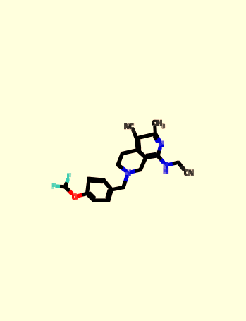 Cc1nc(NCC#N)c2c(c1C#N)CCN(Cc1ccc(OC(F)F)cc1)C2